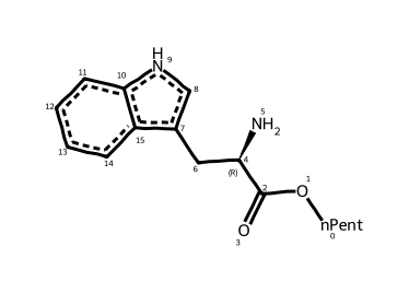 CCCCCOC(=O)[C@H](N)Cc1c[nH]c2ccccc12